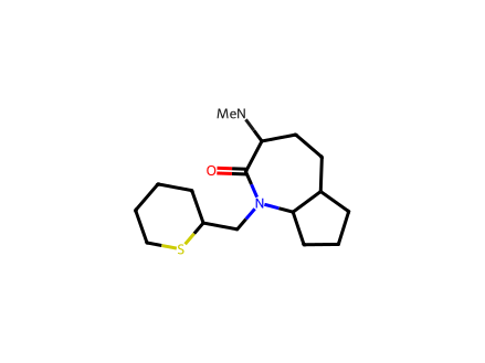 CNC1CCC2CCCC2N(CC2CCCCS2)C1=O